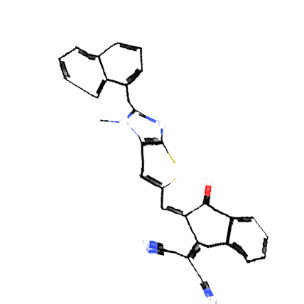 Cn1c(-c2cccc3ccccc23)nc2sc(/C=C3\C(=O)c4ccccc4C3=C(C#N)C#N)cc21